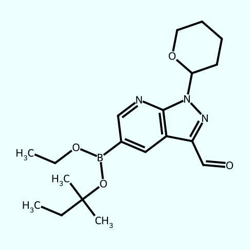 CCOB(OC(C)(C)CC)c1cnc2c(c1)c(C=O)nn2C1CCCCO1